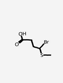 CSC(Br)CCC(=O)O